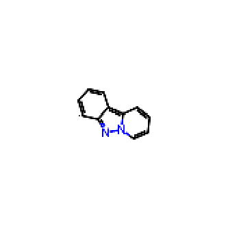 [c]1cccc2c1nn1ccccc21